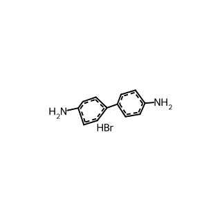 Br.Nc1ccc(-c2ccc(N)cc2)cc1